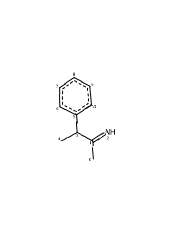 CC(=N)C(C)c1ccccc1